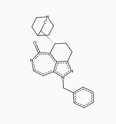 O=c1nccc2c3c(nn2Cc2ccccc2)CC[C@@H](C2CN4CCC2CC4)c13